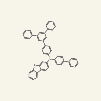 c1ccc(-c2ccc(N(c3ccc(-c4cc(-c5ccccc5)cc(-c5ccccc5)c4)cc3)c3ccc4c(c3)sc3ccccc34)cc2)cc1